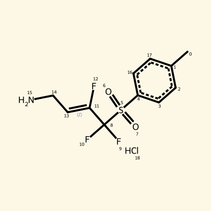 Cc1ccc(S(=O)(=O)C(F)(F)/C(F)=C/CN)cc1.Cl